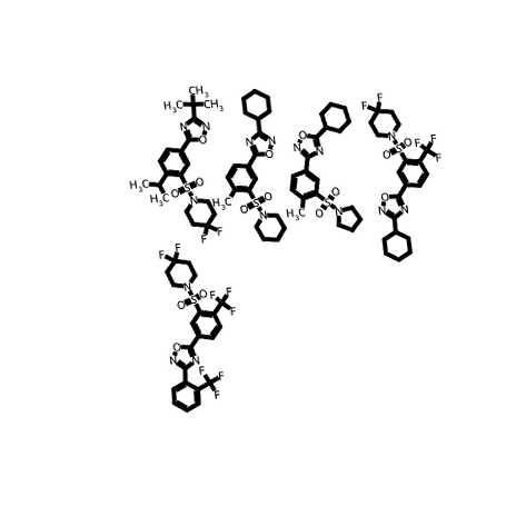 CC(C)c1ccc(-c2nc(C(C)(C)C)no2)cc1S(=O)(=O)N1CCC(F)(F)CC1.Cc1ccc(-c2nc(C3CCCCC3)no2)cc1S(=O)(=O)N1CCCCC1.Cc1ccc(-c2noc(C3CCCCC3)n2)cc1S(=O)(=O)N1CCCC1.O=S(=O)(c1cc(-c2nc(-c3ccccc3C(F)(F)F)no2)ccc1C(F)(F)F)N1CCC(F)(F)CC1.O=S(=O)(c1cc(-c2nc(C3CCCCC3)no2)ccc1C(F)(F)F)N1CCC(F)(F)CC1